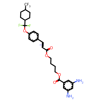 Nc1cc(N)cc(C(=O)OCCCCOC(=O)/C=C/c2ccc(OC(F)(F)C3CCC(C(F)(F)F)CC3)cc2)c1